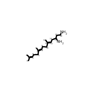 CC(C)=CCC/C(C)=C/CC/C(C)=C/CC(N)CCN